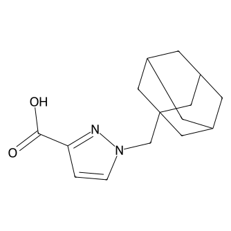 O=C(O)c1ccn(CC23CC4CC(CC(C4)C2)C3)n1